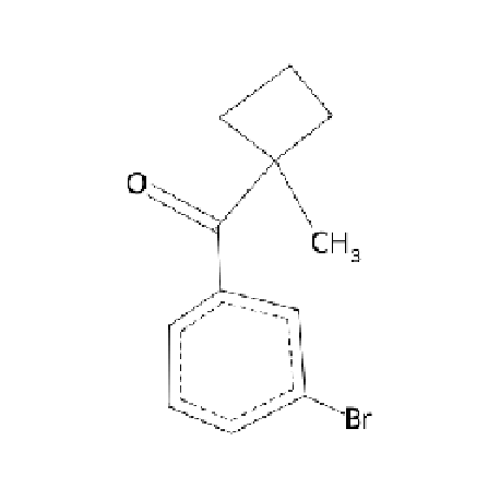 CC1(C(=O)c2cccc(Br)c2)CCC1